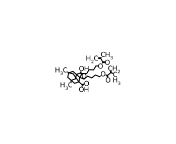 C=C(C)C(=O)OCCCCCC1(CCCCCOC(=O)C(=C)C)C2(C(=O)O)CC3(C)CC(C)(C2)CC1(C(=O)O)C3